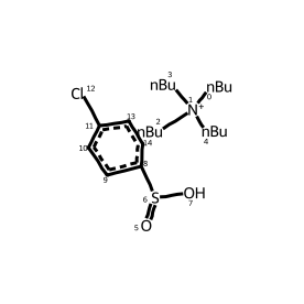 CCCC[N+](CCCC)(CCCC)CCCC.O=S(O)c1ccc(Cl)cc1